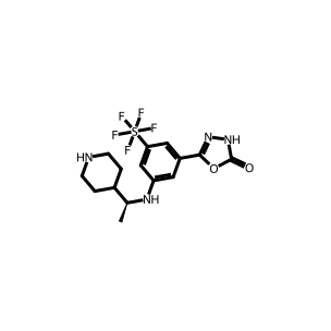 C[C@H](Nc1cc(-c2n[nH]c(=O)o2)cc(S(F)(F)(F)(F)F)c1)C1CCNCC1